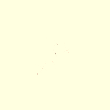 CC(C)(S)CN(CCN(CC(C)(C)S)C(=O)O)C(=O)O